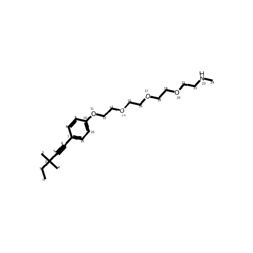 CCC(C)(C)C#Cc1ccc(OCCOCCOCCOCCNC)cc1